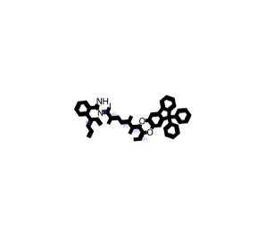 C=C/C=C(\C=C)c1ccccc1C(=N)/N=C(I)/C(C)=C/C=C(C)/C(C)=C1\Oc2cc3c(cc2O\C1=C\C)C(c1ccccc1)(c1ccccc1)c1ccccc1-3